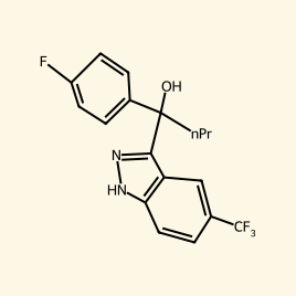 CCCC(O)(c1ccc(F)cc1)c1n[nH]c2ccc(C(F)(F)F)cc12